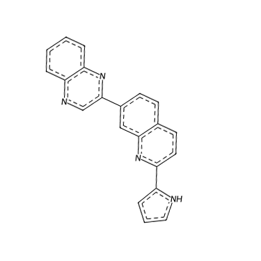 c1c[nH]c(-c2ccc3ccc(-c4cnc5ccccc5n4)cc3n2)c1